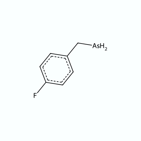 Fc1ccc(C[AsH2])cc1